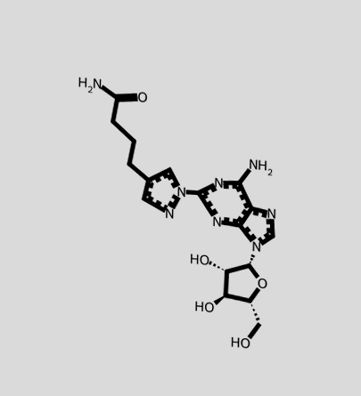 NC(=O)CCCc1cnn(-c2nc(N)c3ncn([C@@H]4O[C@H](CO)[C@@H](O)[C@@H]4O)c3n2)c1